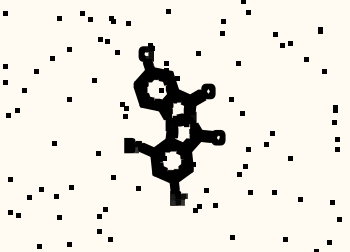 O=c1c2cc(Cl)ccc2n2c3c(Br)cc(Br)cc3c(=O)n12